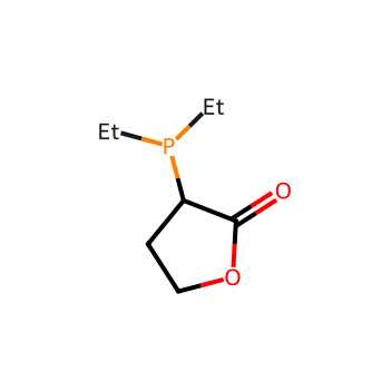 CCP(CC)C1CCOC1=O